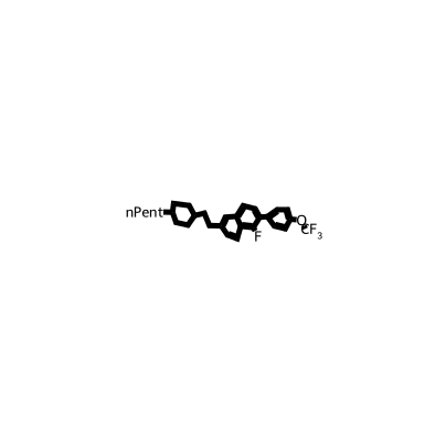 CCCCCC1CCC(CCc2ccc3c(F)c(-c4ccc(OC(F)(F)F)cc4)ccc3c2)CC1